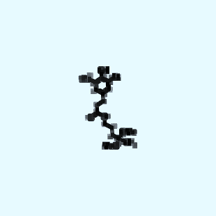 CCc1cc(CCC(=O)OCCC[Si](C)(OC)OC)cc(C(C)(C)C)c1O